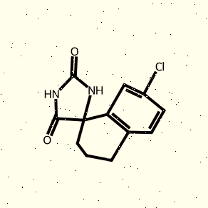 O=C1NC(=O)C2(CCCc3ccc(Cl)cc32)N1